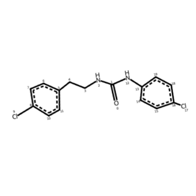 O=C(NCCc1ccc(Cl)cc1)Nc1ccc(Cl)cc1